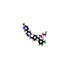 FCCON=C(c1ccc(CN2CCC(c3ccc(F)nc3)CC2)cc1)c1ccc(F)c(F)c1